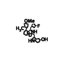 COc1ccc(-c2cccnc2C(CC2=CC(F)=CC2)NC(=O)Cc2c[nH]c3ccc(O)cc23)c(C)c1